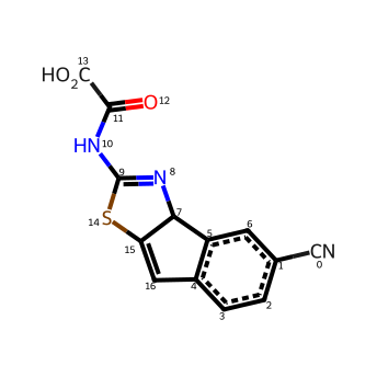 N#Cc1ccc2c(c1)C1N=C(NC(=O)C(=O)O)SC1=C2